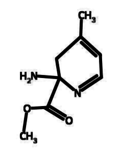 COC(=O)C1(N)CC(C)=CC=N1